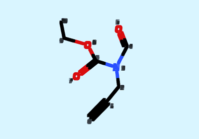 C#CCN(C=O)C(=O)OCC